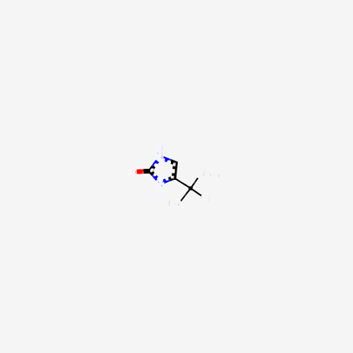 CCCCCCC(C)(CCCCC)c1c[nH]c(=O)[nH]1